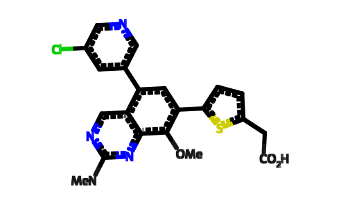 CNc1ncc2c(-c3cncc(Cl)c3)cc(-c3ccc(CC(=O)O)s3)c(OC)c2n1